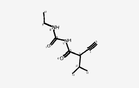 C#CC(C(=O)NC(=O)NCC)C(C)C